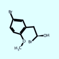 COc1ccc(Br)cc1C[C@@H](O)Br